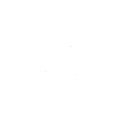 COc1cc(CC(=O)O)cc(S(=O)(=O)c2cccc(-c3cccc(C(F)(F)F)c3)c2)c1